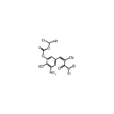 CCCC(CC)OC(=O)Oc1cc(C=C(C#N)C(=O)N(CC)CC)cc([N+](=O)[O-])c1O